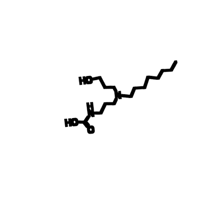 CCCCCCCCN(CCCO)CCCNC(=O)O